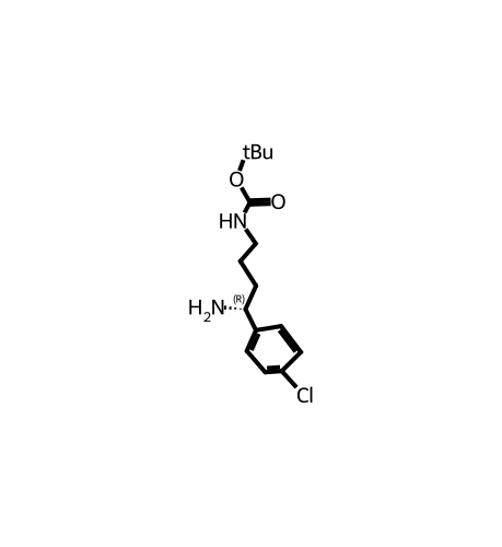 CC(C)(C)OC(=O)NCCC[C@@H](N)c1ccc(Cl)cc1